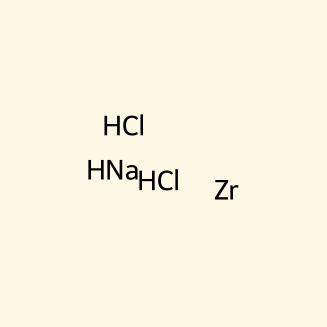 Cl.Cl.[NaH].[Zr]